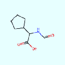 O=CNC(C(=O)O)C1CCCC1